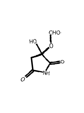 O=[C]OC1(O)CC(=O)NC1=O